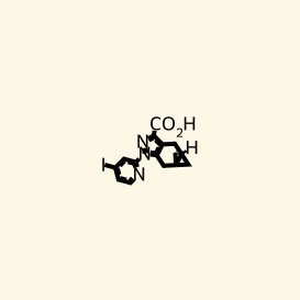 CC12Cc3c(c(C(=O)O)nn3-c3cc(I)ccn3)C[C@@H]1C2